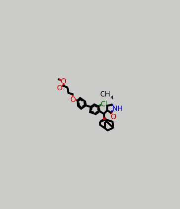 C.COC(=O)CCCOc1ccc(-c2ccc(C(C3CCNC3=O)C3C4CC5CC(C4)CC3C5)c(Cl)c2)cc1